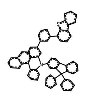 c1ccc(C2(c3ccccc3)c3ccccc3-c3ccc(N(c4cccc(-c5cccc(-c6cccc7c6sc6ccccc67)c5)c4)c4ccccc4-c4cccc5ccccc45)cc32)cc1